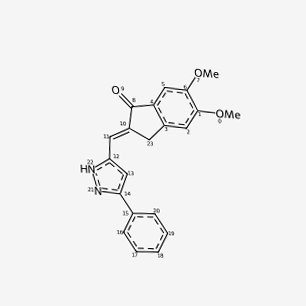 COc1cc2c(cc1OC)C(=O)C(=Cc1cc(-c3ccccc3)n[nH]1)C2